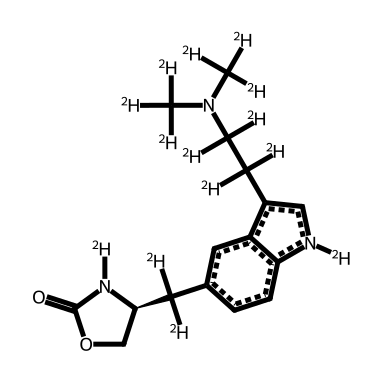 [2H]N1C(=O)OC[C@@H]1C([2H])([2H])c1ccc2c(c1)c(C([2H])([2H])C([2H])([2H])N(C([2H])([2H])[2H])C([2H])([2H])[2H])cn2[2H]